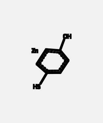 Oc1ccc(S)cc1.[Zn]